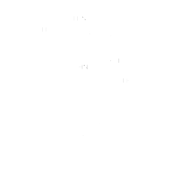 CC(CCc1ccccc1)NC(CO)C(N)=O.Cl